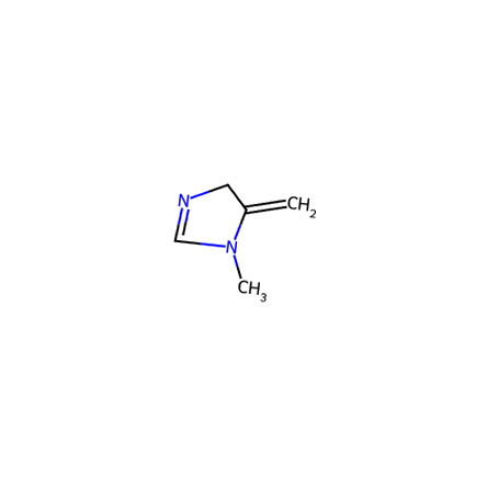 C=C1CN=CN1C